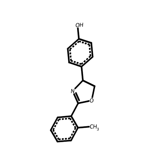 Cc1ccccc1C1=NC(c2ccc(O)cc2)CO1